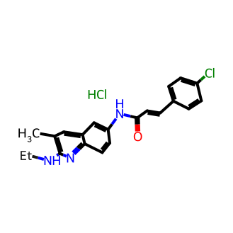 CCNc1nc2ccc(NC(=O)C=Cc3ccc(Cl)cc3)cc2cc1C.Cl